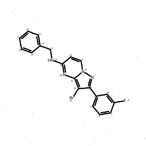 Fc1cccc(-c2nn3ccc(NCc4ccccc4)nc3c2Br)c1